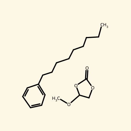 CCCCCCCCCc1ccccc1.COC1COC(=O)O1